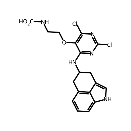 O=C(O)NCCOc1c(Cl)nc(Cl)nc1NC1Cc2cccc3[nH]cc(c23)C1